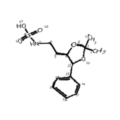 CC1(C)OC(CCNS(=O)(=O)O)C(c2ccccc2)O1